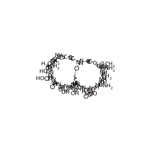 CC1N[C@@H]2CSCc3ccc(cc3)-c3nc(nc(n3)-c3ccc(cc3)CSC[C@H](NC(=O)[C@H](C)N)C(=O)N[C@H](C)C(=O)N[C@@H](CC(N)=O)C(=O)N[C@@H](CCC(=O)O)C(=O)N[C@@H](Cc3cccc4ccccc34)C(=O)N[C@@H]1C)-c1ccc(cc1)CSC[C@@H](C(N)=O)CC(=O)[C@H](C(C)(C)C)NC(=O)[C@H](CC(=O)O)NC(=O)[C@H](Cc1ccc(O)cc1)NC(=O)[C@H](Cc1ccccc1)NC(=O)[C@H](CC(=O)O)NC(=O)[C@H](CCC(=O)O)NC2=O